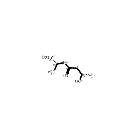 CCOC(=O)[C@@H](C)NC(=O)C[C@H](C)O